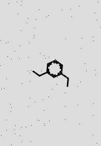 CCc1c[c]cc(CC)c1